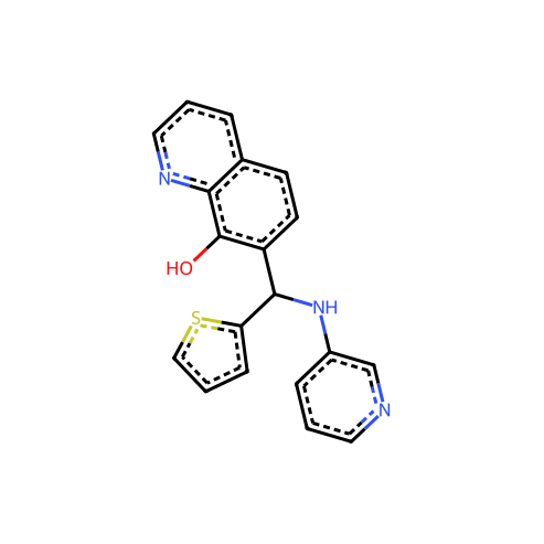 Oc1c(C(Nc2cccnc2)c2cccs2)ccc2cccnc12